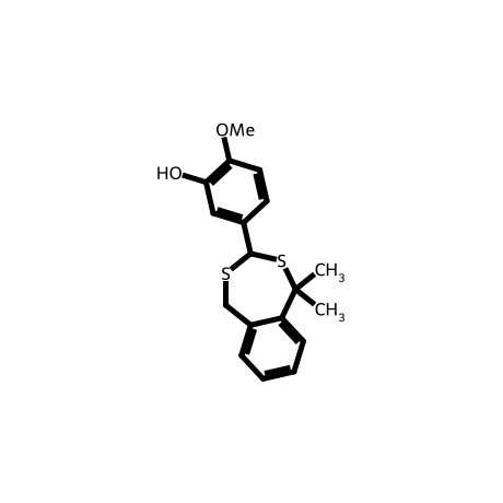 COc1ccc(C2SCc3ccccc3C(C)(C)S2)cc1O